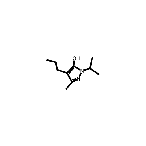 CCCc1c(C)nn(C(C)C)c1O